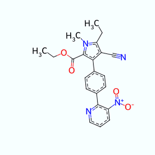 CCOC(=O)c1c(-c2ccc(-c3ncccc3[N+](=O)[O-])cc2)c(C#N)c(CC)n1C